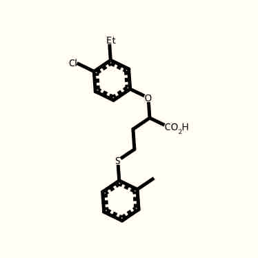 CCc1cc(OC(CCSc2ccccc2C)C(=O)O)ccc1Cl